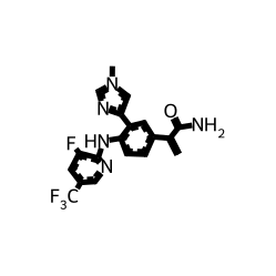 C=C(C(N)=O)c1ccc(Nc2ncc(C(F)(F)F)cc2F)c(-c2cn(C)cn2)c1